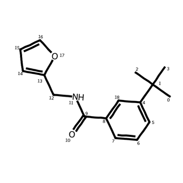 CC(C)(C)c1cccc(C(=O)NCc2ccco2)c1